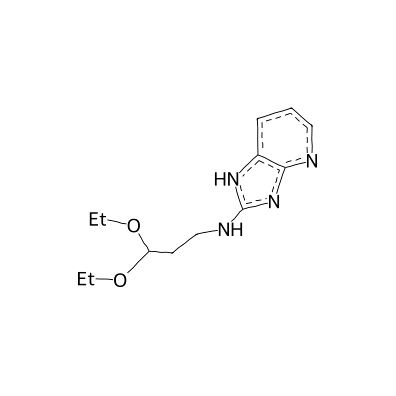 CCOC(CCNc1nc2ncccc2[nH]1)OCC